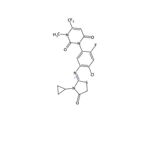 Cn1c(C(F)(F)F)cc(=O)n(-c2cc(/N=C3\SCC(=O)N3C3CC3)c(Cl)cc2F)c1=O